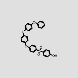 O=S(=O)(c1ccc(O)cc1)c1ccc(Oc2ccc(Oc3ccc(Oc4ccccc4)cc3)cc2)cc1